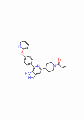 C=CC(=O)N1CCC(c2cc3cn[nH]c3c(-c3ccc(Oc4ccccn4)cc3)n2)CC1